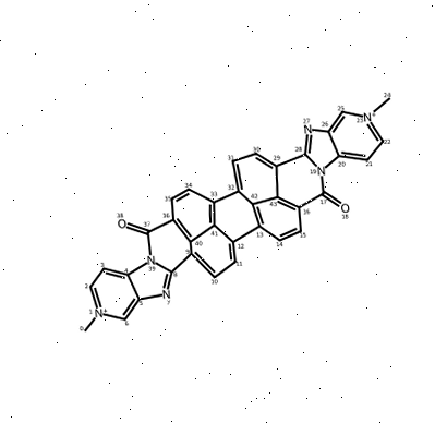 C[n+]1ccc2c(c1)nc1c3ccc4c5ccc6c(=O)n7c8cc[n+](C)cc8nc7c7ccc(c8ccc(c(=O)n21)c3c84)c5c67